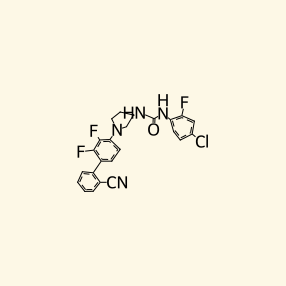 N#Cc1ccccc1-c1ccc(N2CC[C@@H](NC(=O)Nc3ccc(Cl)cc3F)C2)c(F)c1F